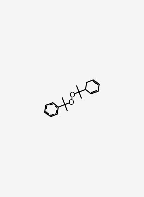 CC(C)(OOC(C)(C)C1C=CC=CC1)c1ccccc1